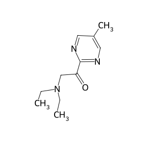 CCN(CC)CC(=O)c1ncc(C)cn1